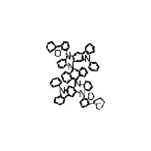 c1ccc(-n2c3ccccc3c3cc4c(cc32)N(c2c3ccccc3c(N3c5ccccc5N(c5cccc6c5oc5ccccc56)c5cc6c7ccccc7n(-c7ccccc7)c6cc53)c3ccccc23)c2ccccc2N4c2cccc3c2OC2CCCCC32)cc1